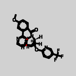 COc1ccc(C(=O)N2C[C@@H]3CC[C@H]2[C@H](Oc2ccc(C(F)(F)F)cn2)C3)c(-c2ncccn2)c1